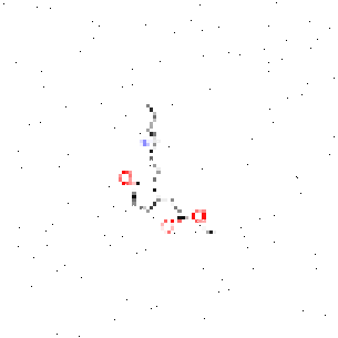 CC/C=C/CCC1C(=O)CCC1CC(=O)OCC